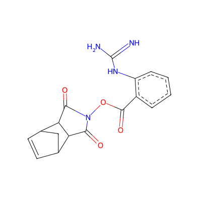 N=C(N)Nc1ccccc1C(=O)ON1C(=O)C2C3C=CC(C3)C2C1=O